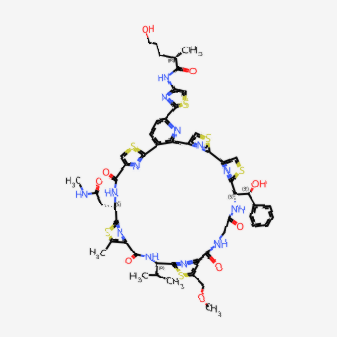 CNC(=O)C[C@@H]1NC(=O)c2csc(n2)-c2ccc(-c3nc(NC(=O)[C@H](C)CCCO)cs3)nc2-c2csc(n2)-c2csc(n2)[C@H]([C@@H](O)c2ccccc2)NC(=O)CNC(=O)c2nc(sc2COC)[C@@H](C(C)C)NC(=O)c2nc1sc2C